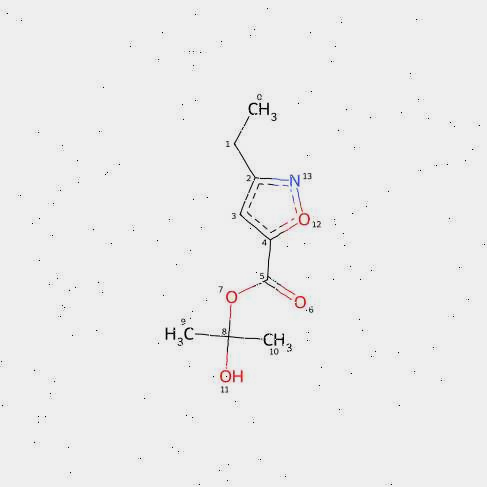 CCc1cc(C(=O)OC(C)(C)O)on1